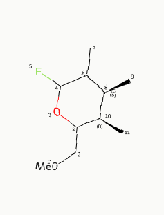 COCC1OC(F)C(C)[C@@H](C)[C@H]1C